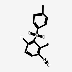 [C-]#[N+]c1ccc(F)c(S(=O)(=O)c2ccc(C)cc2)c1F